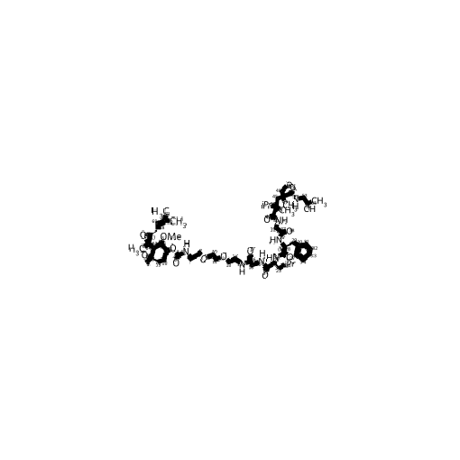 COC1C(OC(=O)NCCOCCOCCNC(=O)CNC(=O)[C@H](CC(C)C)NC(=O)[C@H](Cc2ccccc2)NC(=O)CNC(=O)C(C)(CC(C)(CC(C)C)C(=O)NCC(C)O)C(C)C)CC[C@]2(CO2)C1C1(C)O[C@@H]1CC=C(C)C